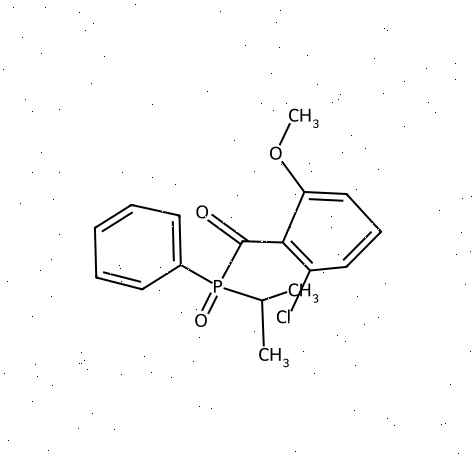 COc1cccc(Cl)c1C(=O)P(=O)(c1ccccc1)C(C)C